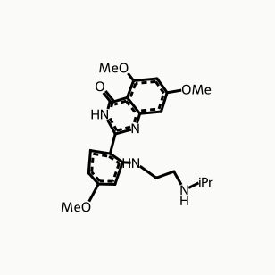 COc1ccc(-c2nc3cc(OC)cc(OC)c3c(=O)[nH]2)c(NCCNC(C)C)c1